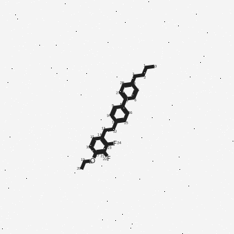 CCCCc1ccc(-c2ccc(CCc3ccc(OCC)c(F)c3F)cc2)cc1